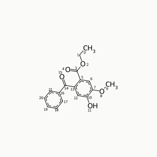 CCOC(=O)c1cc(OC)c(O)cc1C(=O)c1ccccc1